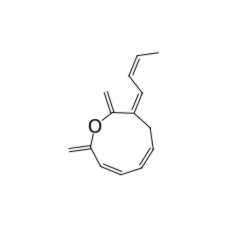 C=C1/C=C\C=C/C/C(=C/C=C\C)C(=C)O1